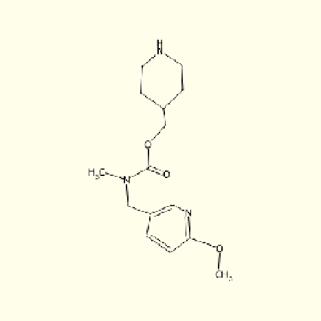 COc1ccc(CN(C)C(=O)OCC2CCNCC2)cn1